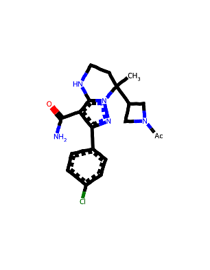 CC(=O)N1CC(C2(C)CCNc3c(C(N)=O)c(-c4ccc(Cl)cc4)nn32)C1